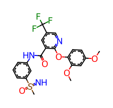 COc1ccc(Oc2ncc(C(F)(F)F)cc2C(=O)Nc2cccc(S(C)(=N)=O)c2)c(OC)c1